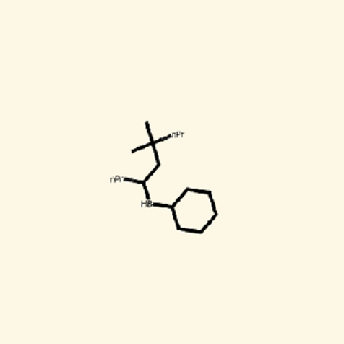 CCCC(BC1CCCCC1)CC(C)(C)CCC